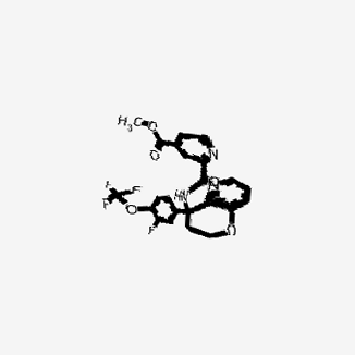 COC(=O)c1ccnc(C(=O)NC2(c3ccc(OC(F)(F)F)c(F)c3)CCOc3cccnc32)c1